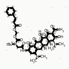 CN(C)c1cc(NC(=O)CN(C(=O)OCOC(=O)/C=C/c2ccccc2)C(C)(C)C)c(O)c2c1C[C@H]1C[C@H]3[C@H](N(C)C)C(O)=C(C(N)=O)C(=O)[C@@]3(O)C(O)=C1C2=O